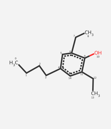 CCCCc1cc(CC)c(O)c(CC)c1